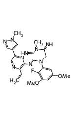 C=Cc1ncc(-c2cnn(C)c2)nc1/N=C/N(CC(=N)N(C)C=N)c1cc(OC)cc(OC)c1F